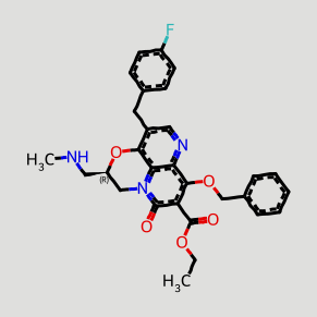 CCOC(=O)c1c(OCc2ccccc2)c2ncc(Cc3ccc(F)cc3)c3c2n(c1=O)C[C@@H](CNC)O3